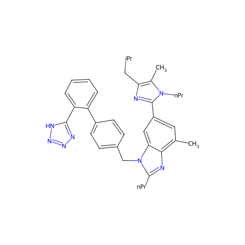 CCCc1nc2c(C)cc(-c3nc(CC(C)C)c(C)n3CCC)cc2n1Cc1ccc(-c2ccccc2-c2nnn[nH]2)cc1